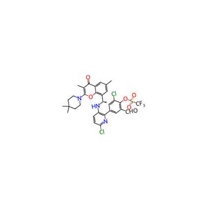 Cc1cc([C@@H](C)Nc2ccc(Cl)nc2-c2cc(Cl)c(OS(=O)(=O)C(F)(F)F)c(C=O)c2)c2oc(N3CCC(C)(C)CC3)c(C)c(=O)c2c1